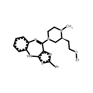 CCOCC[C@H]1CN(C2=Nc3ccccc3Nc3sc(C(C)C)nc32)CCN1C